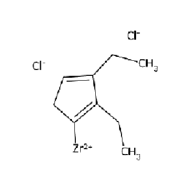 CCC1=CC[C]([Zr+2])=C1CC.[Cl-].[Cl-]